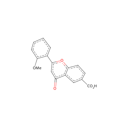 COc1ccccc1-c1cc(=O)c2cc(C(=O)O)ccc2o1